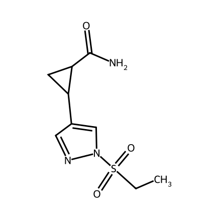 CCS(=O)(=O)n1cc(C2CC2C(N)=O)cn1